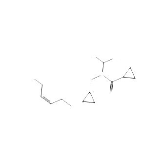 CC/C=C\CC[C@H]1C[C@H]1CN(C(=O)C1CC1)C(C)C